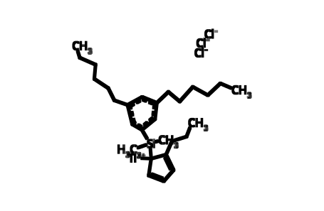 CCCCCCc1cc(CCCCCC)cc([Si](C)(C)[C]2([Ti+3])C=CC=C2CCC)c1.[Cl-].[Cl-].[Cl-]